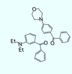 CCN(CC)c1cccc(C(=O)c2ccccc2)c1.O=C(c1ccccc1)c1ccc(N2CCOCC2)cc1